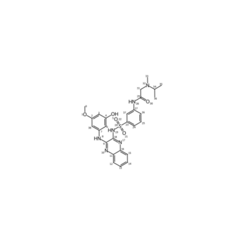 COc1cc(O)cc(Nc2nc3ccccc3nc2NS(=O)(=O)c2cccc(NC(=O)CN(C)C(C)C)c2)c1